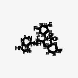 C[C@H](Nc1ncnc2[nH]cnc12)C1=Cc2ccc(F)cc2S(=O)(=O)N1c1cc(F)cc(F)c1